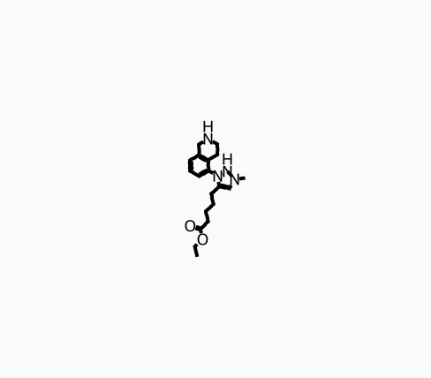 CCOC(=O)CCCCC1=CN(C)NN1c1cccc2c1CCNC2